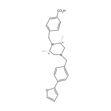 C[C@@H]1CN(Cc2ccc(-c3ccco3)cc2)C[C@H](C)N1Cc1ccc(C(=O)O)cc1